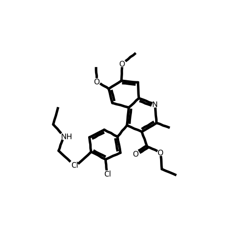 CCNCC.CCOC(=O)c1c(C)nc2cc(OC)c(OC)cc2c1-c1ccc(Cl)c(Cl)c1